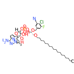 CCCCCCCCCCCCCCCCCCOC[C@H](COP(=O)(O)OC1[C@H]2O[C@@](C)(c3ccc4c(N)ncnn34)[C@H](O)[C@@]12O)OCc1cc(F)c(Cl)c(C#N)c1